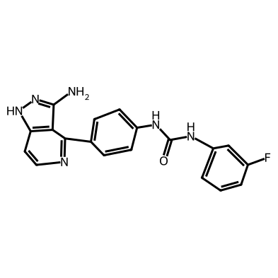 Nc1n[nH]c2ccnc(-c3ccc(NC(=O)Nc4cccc(F)c4)cc3)c12